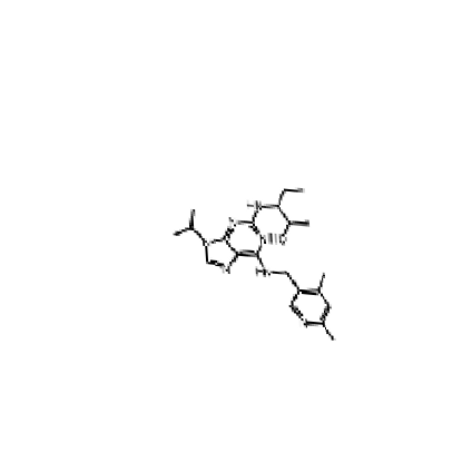 CCC(Nc1nc(NCc2cnc(C)cc2C)c2ncn(C(C)C)c2n1)[C@@H](C)O